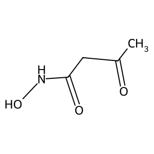 CC(=O)CC(=O)NO